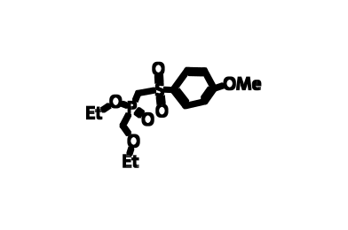 CCOCP(=O)(CS(=O)(=O)c1ccc(OC)cc1)OCC